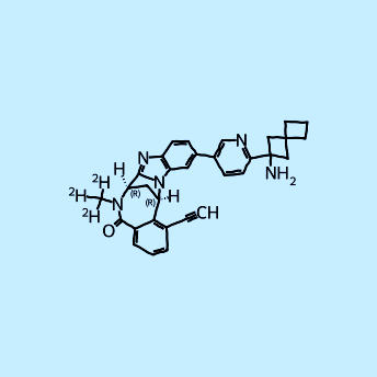 [2H]C([2H])([2H])N1C(=O)c2cccc(C#C)c2[C@H]2C[C@@H]1c1nc3ccc(-c4ccc(C5(N)CC6(CCC6)C5)nc4)cc3n12